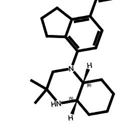 C=Cc1ccc(N2CC(C)(C)N[C@H]3CCCC[C@H]32)c2c1CCC2